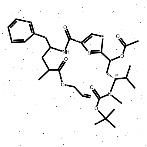 C=CCOC(=O)C(C)CC(Cc1ccccc1)NC(=O)c1csc(C(C[C@H](C(C)C)N(C)C(=O)OC(C)(C)C)OC(C)=O)n1